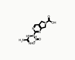 N=C(N)NN(c1ncc2c(n1)CN(C(=O)O)C2)[SH](=O)=O